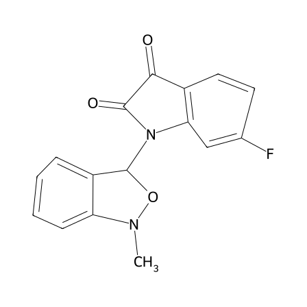 CN1OC(N2C(=O)C(=O)c3ccc(F)cc32)c2ccccc21